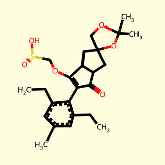 CCc1cc(C)cc(CC)c1C1=C(OCS(=O)O)C2CC3(COC(C)(C)O3)CC2C1=O